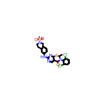 CC1Sc2nc(Nc3ccc4c(c3)CCN(S(C)(=O)=O)C4)ncc2C(=O)N1c1c(Cl)cccc1Cl